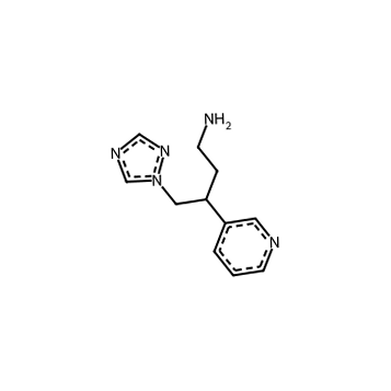 NCCC(Cn1cncn1)c1cccnc1